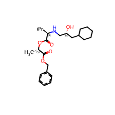 CC(C)[C@@H](NC[C@H](O)CC1CCCCC1)C(=O)O[C@@H](C)C(=O)OCc1ccccc1